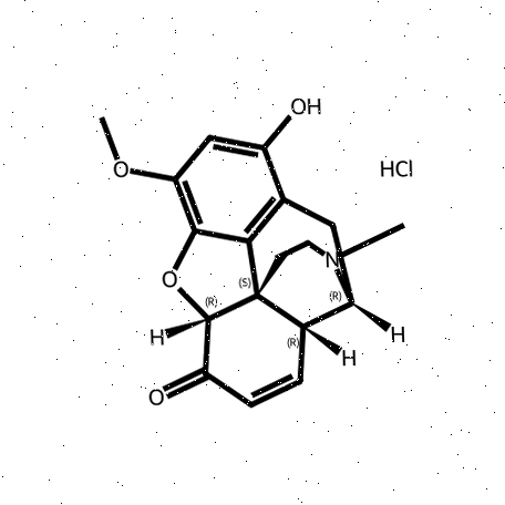 COc1cc(O)c2c3c1O[C@H]1C(=O)C=C[C@H]4[C@@H](C2)N(C)CC[C@]314.Cl